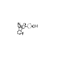 O=C(CC1c2c(F)cccc2-c2cncn21)C1CCC(O)CC1